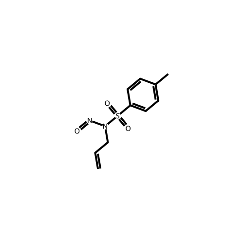 C=CCN(N=O)S(=O)(=O)c1ccc(C)cc1